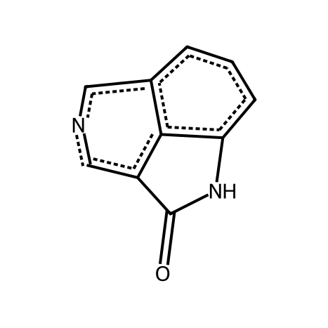 O=C1Nc2cccc3cncc1c23